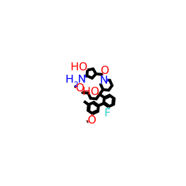 COCCCCC(O)(c1cccc(F)c1-c1cc(C)cc(OC)c1)C1CCCN(C(=O)C2CC(N)C(O)C2)C1